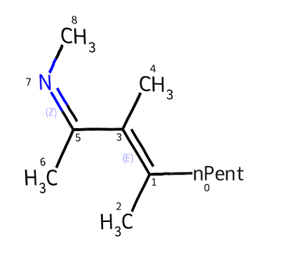 CCCCC/C(C)=C(C)/C(C)=N\C